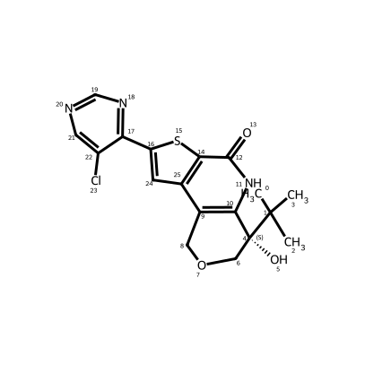 CC(C)(C)[C@@]1(O)COCc2c1[nH]c(=O)c1sc(-c3ncncc3Cl)cc21